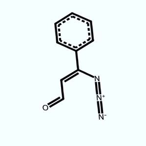 [N-]=[N+]=NC(=CC=O)c1ccccc1